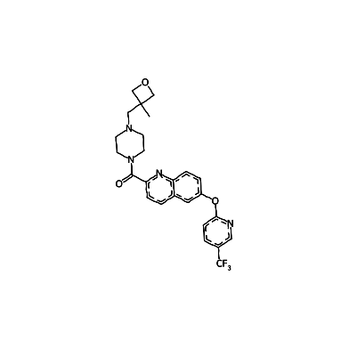 CC1(CN2CCN(C(=O)c3ccc4cc(Oc5ccc(C(F)(F)F)cn5)ccc4n3)CC2)COC1